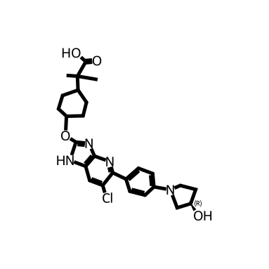 CC(C)(C(=O)O)C1CCC(Oc2nc3nc(-c4ccc(N5CC[C@@H](O)C5)cc4)c(Cl)cc3[nH]2)CC1